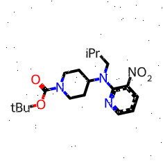 CC(C)CN(c1ncccc1[N+](=O)[O-])C1CCN(C(=O)OC(C)(C)C)CC1